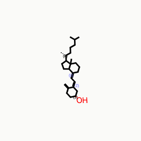 C=C1CC[C@H](O)C/C1=C/C=C1\CCCC2(C)C1CCC2[C@H](C)CCCC(C)C